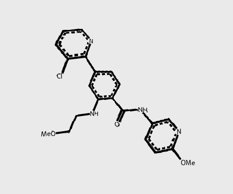 COCCNc1cc(-c2ncccc2Cl)ccc1C(=O)Nc1ccc(OC)nc1